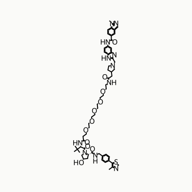 Cc1ncsc1-c1ccc(CNC(=O)[C@@H]2C[C@@H](O)CN2C(=O)[C@@H](NC(=O)CCOCCOCCOCCOCCOCCNC(=O)CC2CCN(Cc3nc4cc(NC(=O)c5ccc6c(cnn6C)c5)ccc4[nH]3)C2)C(C)(C)C)cc1